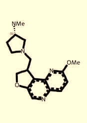 CN[C@H]1CCN(CC2COc3cnc4ccc(OC)nc4c32)C1